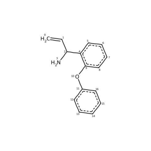 C=CC(N)c1ccccc1Oc1ccccc1